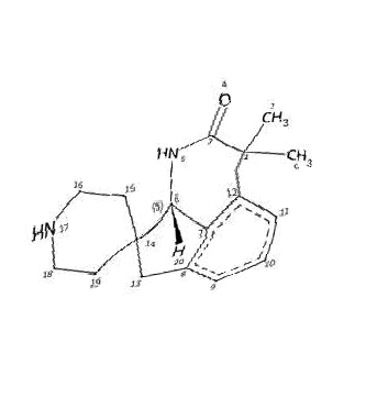 CC1(C)C(=O)N[C@@H]2c3c(cccc31)CC21CCNCC1